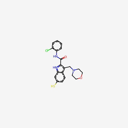 O=C(Nc1ccccc1Cl)c1[nH]c2cc(S)ccc2c1CN1CCOCC1